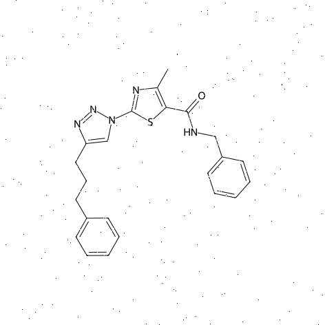 Cc1nc(-n2cc(CCCc3ccccc3)nn2)sc1C(=O)NCc1ccccc1